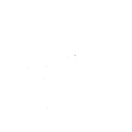 CCC(N)c1ccc(Oc2ncn(CC3(O)CCN(C(=O)[C@@H]4CCC(F)(F)C[C@H]4c4ccccc4)CC3)c(=O)c2N)cc1